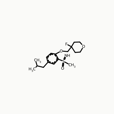 CC(C)Cc1ccc(OCC2(F)CCOCC2)c(S(C)(=N)=O)c1